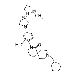 Cc1cc(N2CC[C@H](N3CCC[C@@H]3C)C2)ccc1N1CCCC2(CCN(CC3CCCCC3)CC2)C1=O